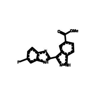 COC(=O)c1ccc2[nH]nc(-c3nc4ccc(F)cc4[nH]3)c2c1